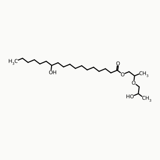 CCCCCCC(O)CCCCCCCCCCC(=O)OCC(C)OCC(C)O